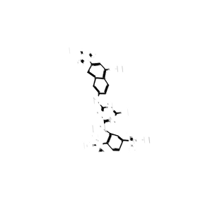 O=S(=O)(O)c1ccc(S(=O)(=O)O)c(Nc2nc(Cl)nc(Nc3ccc4c(O)cc(S(=O)(=O)O)cc4c3)n2)c1